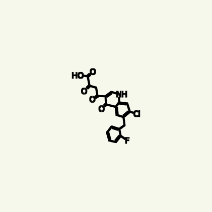 O=C(O)C(=O)CC(=O)c1c[nH]c2cc(Cl)c(Cc3ccccc3F)cc2c1=O